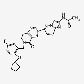 CC(=O)Nc1cn2nc(-c3cnc4c(c3)C(=O)N(Cc3cc(F)ccc3OC3CCCC3)CC4)ccc2n1